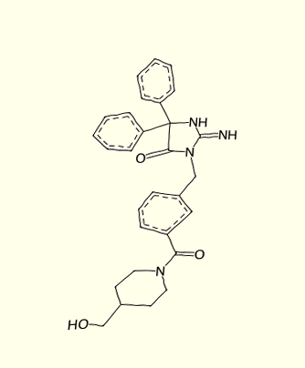 N=C1NC(c2ccccc2)(c2ccccc2)C(=O)N1Cc1cccc(C(=O)N2CCC(CO)CC2)c1